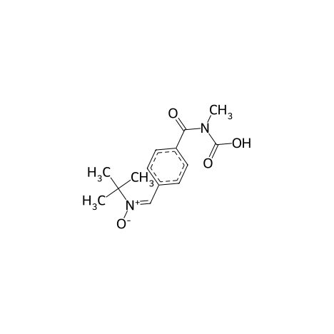 CN(C(=O)O)C(=O)c1ccc(/C=[N+](/[O-])C(C)(C)C)cc1